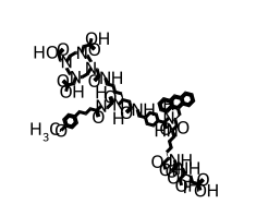 COc1ccc(CCCC(=O)NCC(=O)N[C@@H](CCCCNC(=O)CN2CCN(CC(=O)O)CCN(CC(=O)O)CCN(CC(=O)O)CC2)CC(=O)NCC2CCC(C(=O)N[C@@H](Cc3c4ccccc4cc4ccccc34)C(=O)NCCCC[C@H](NC(=O)N[C@@H](C[C@@H](F)C(=O)O)C(=O)O)C(=O)O)CC2)cc1